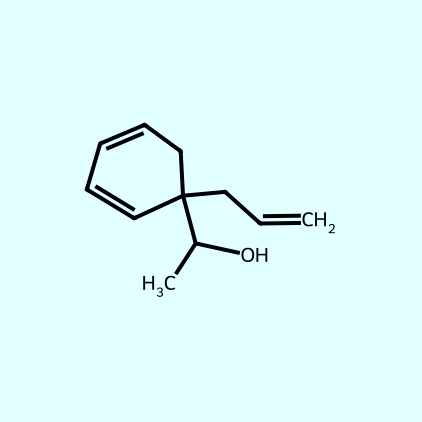 C=CCC1(C(C)O)C=CC=CC1